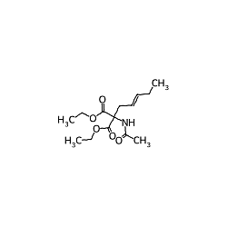 CCC=CCC(NC(C)=O)(C(=O)OCC)C(=O)OCC